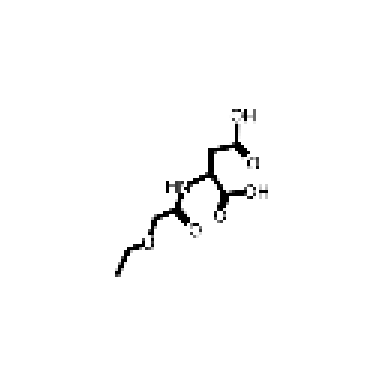 CCOCC(=O)NC(CC(=O)O)C(=O)O